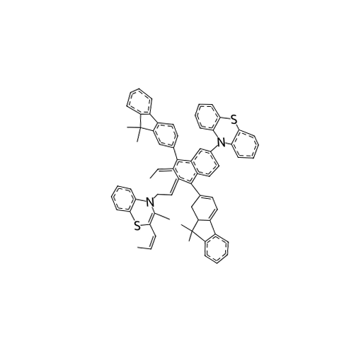 C/C=C\C1=C(C)N(C/C=c2/c(C3=CC=C4c5ccccc5C(C)(C)C4C3)c3ccc(N4c5ccccc5Sc5ccccc54)cc3c(-c3ccc4c(c3)C(C)(C)c3ccccc3-4)/c2=C/C)c2ccccc2S1